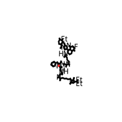 C=C(CN(C)C(=C)CCCCCN1C(=C)CC(C(CC)CC)C1=C)NCC(=C)N(C)C(Cc1ccccc1)C(=C)NCC(=C)N(C)CCCC(=C)NC1CCc2c(C)c(F)cc3nc4c(c1c23)CN1C(=C)C2=C(C=C41)C(CC)C(=C)CC2